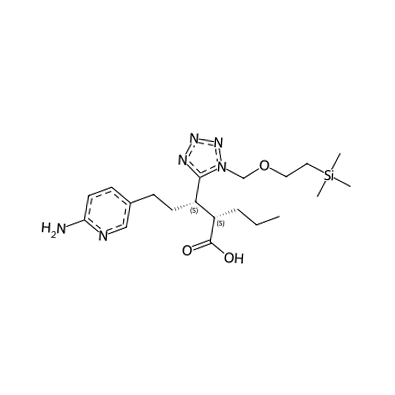 CCC[C@H](C(=O)O)[C@H](CCc1ccc(N)nc1)c1nnnn1COCC[Si](C)(C)C